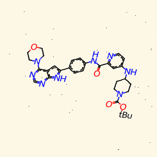 CC(C)(C)OC(=O)N1CCC(Nc2ccnc(C(=O)Nc3ccc(-c4cc5c(N6CCOCC6)ncnc5[nH]4)cc3)c2)CC1